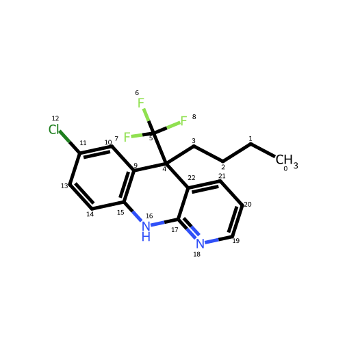 CCCCC1(C(F)(F)F)c2cc(Cl)ccc2Nc2ncccc21